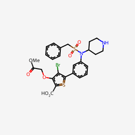 COC(=O)COc1c(C(=O)O)sc(-c2cccc(N(C3CCNCC3)S(=O)(=O)Cc3ccccc3)c2)c1Br